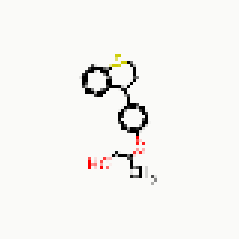 CC(CO)Oc1ccc(C2CCSc3ccccc32)cc1